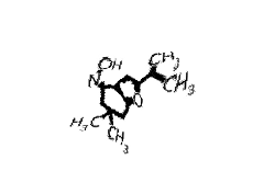 CC(C)c1cc2c(o1)CC(C)(C)C/C2=N/O